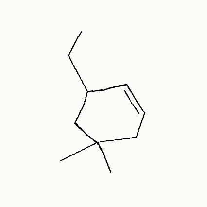 CCC1C=CCC(C)(C)C1